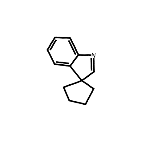 C1=Nc2ccccc2C12CCCC2